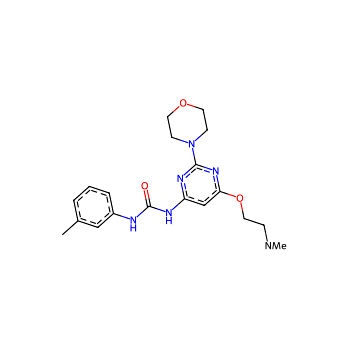 CNCCOc1cc(NC(=O)Nc2cccc(C)c2)nc(N2CCOCC2)n1